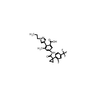 CCCn1cc(-c2c(C)cc(NC(=O)C3(c4ccc(C(F)(F)F)cc4F)CC3)cc2C(=O)O)cn1